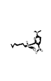 CCCCCCS(=O)(=O)c1nc(N(C)C)ccc1[N+](=O)[O-]